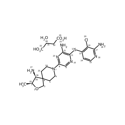 C[C@@H]1OCC2(CCN(c3cnc(Sc4ccnc(N)c4Cl)c(N)n3)CC2)[C@@H]1N.O.O=C(O)CCC(=O)O